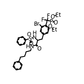 CCOP(=O)(OCC)C(F)(F)c1ccc(CC(NS(=O)(=O)c2ccccc2)C(=O)NCCCCc2ccccc2)cc1Br